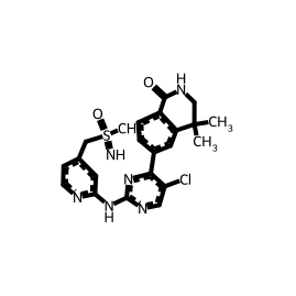 CC1(C)CNC(=O)c2ccc(-c3nc(Nc4cc(CS(C)(=N)=O)ccn4)ncc3Cl)cc21